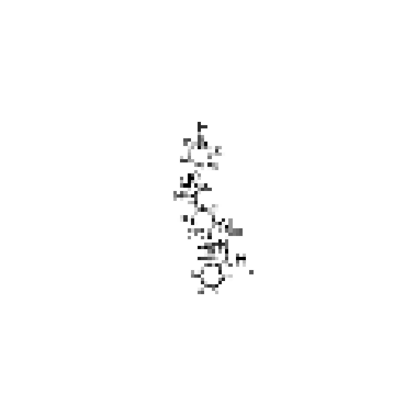 Cc1ccccc1Oc1ncnc2cc(-c3cnn(C4CCNCC4)c3)ccc12